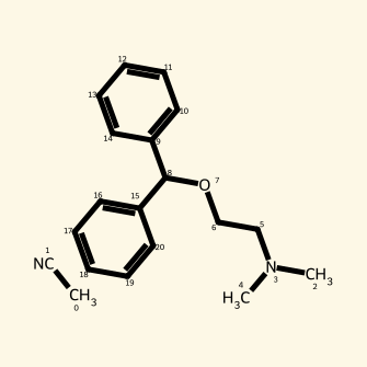 CC#N.CN(C)CCOC(c1ccccc1)c1ccccc1